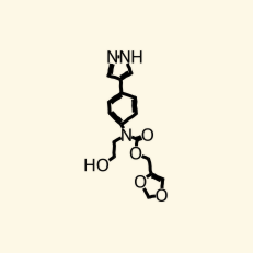 O=C(OCC1=COCO1)N(CCO)c1ccc(-c2cn[nH]c2)cc1